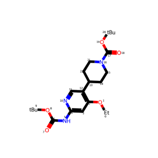 CCOc1cc(NC(=O)OC(C)(C)C)ncc1C1CCN(C(=O)OC(C)(C)C)CC1